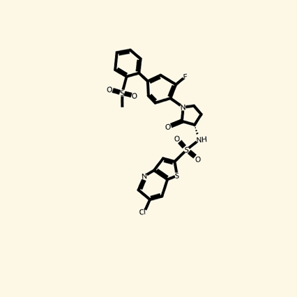 CS(=O)(=O)c1ccccc1-c1ccc(N2CC[C@H](NS(=O)(=O)c3cc4ncc(Cl)cc4s3)C2=O)c(F)c1